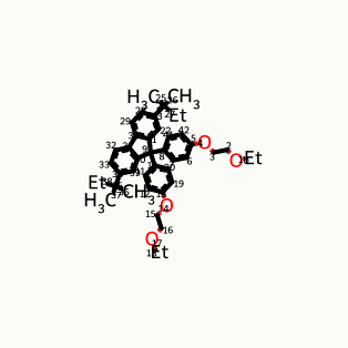 CCOCCOc1ccc(C2(c3ccc(OCCOCC)cc3)c3cc(C(C)(C)CC)ccc3-c3ccc(C(C)(C)CC)cc32)cc1